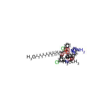 CCCCCCCCCCCCCCCCC[C@H](COP(=O)(OC[C@@]1(C)C[C@@H](c2ccc3c(N)ncnn23)[C@@H]2OC(C)(C)O[C@@H]21)Oc1ccccc1Cl)OCc1cc(Cl)cc(C#N)c1